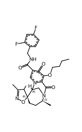 CCCCOc1c2n(cc(C(=O)NCc3ccc(F)cc3F)c1=O)[C@@H]1CN(C2=O)[C@@H](C)CC[C@]12ON=C(C)C2C